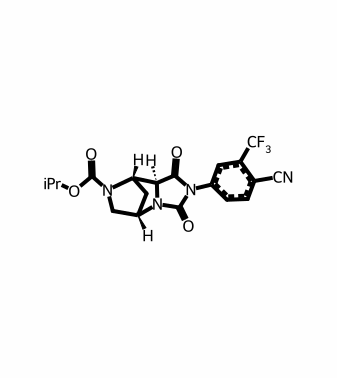 CC(C)OC(=O)N1C[C@@H]2C[C@H]1[C@H]1C(=O)N(c3ccc(C#N)c(C(F)(F)F)c3)C(=O)N21